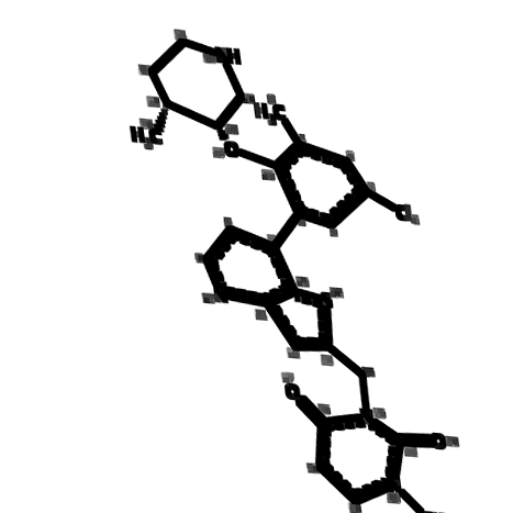 Cc1cc(Cl)cc(-c2ccnc3cc(Cn4c(=O)ccn(C)c4=O)sc23)c1O[C@H]1CNCC[C@H]1C